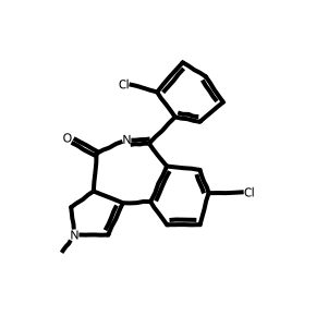 CN1C=C2c3ccc(Cl)cc3C(c3ccccc3Cl)=NC(=O)C2C1